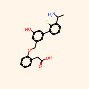 CC(N)c1cccc(-c2cc(O)cc(COc3ccccc3CC(=O)O)c2)c1F